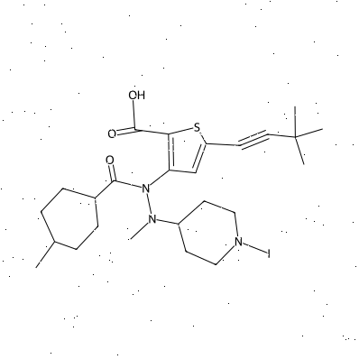 CC1CCC(C(=O)N(c2cc(C#CC(C)(C)C)sc2C(=O)O)N(C)C2CCN(I)CC2)CC1